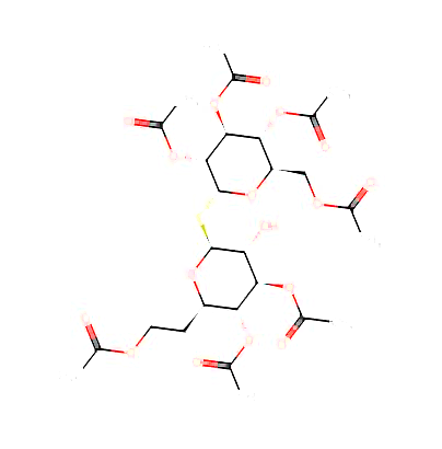 CC(=O)OCC[C@H]1O[C@@H](S[C@H]2O[C@H](COC(C)=O)[C@@H](OC(C)=O)[C@H](OC(C)=O)[C@H]2OC(C)=O)[C@H](O)[C@@H](OC(C)=O)[C@@H]1OC(C)=O